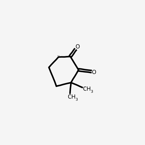 CC1(C)CC[C]C(=O)C1=O